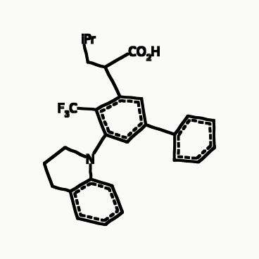 CC(C)CC(C(=O)O)c1cc(-c2ccccc2)cc(N2CCCc3ccccc32)c1C(F)(F)F